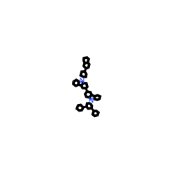 c1ccc(-c2cc(-c3ccccc3)cc(-n3c4ccccc4c4cc(-c5ccc6c(c5)c5ccccc5n6-c5ccc(-c6ccc7ccccc7c6)cc5)ccc43)c2)cc1